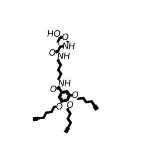 C#CCCCCOc1cc(C(=O)NCCCCCNC(=O)[C@H](CC(=O)O)NC)cc(OCCCCC#C)c1OCCCCC#C